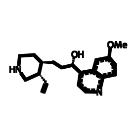 C=C[C@@H]1CNCC[C@H]1CC[C@H](O)c1ccnc2ccc(OC)cc12